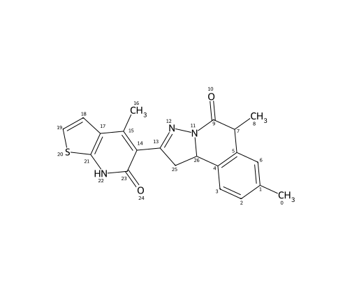 Cc1ccc2c(c1)C(C)C(=O)N1N=C(c3c(C)c4ccsc4[nH]c3=O)CC21